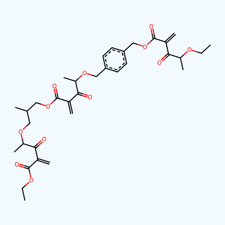 C=C(C(=O)OCc1ccc(COC(C)C(=O)C(=C)C(=O)OCC(C)COC(C)C(=O)C(=C)C(=O)OCC)cc1)C(=O)C(C)OCC